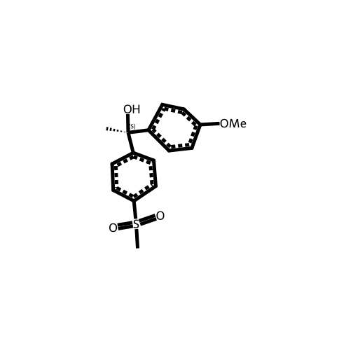 COc1ccc([C@](C)(O)c2ccc(S(C)(=O)=O)cc2)cc1